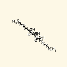 CCCCCCCCCCC(O)C(=O)OCC(O)COC(=O)C(O)CCCCCCCCCC